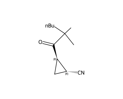 CCCCC(C)(C)C(=O)[C@@H]1C[C@H]1C#N